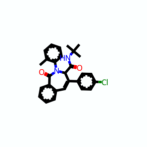 Cc1ccccc1N1C(=O)c2ccccc2C=C(c2ccc(Cl)cc2)C1C(=O)NC(C)(C)C